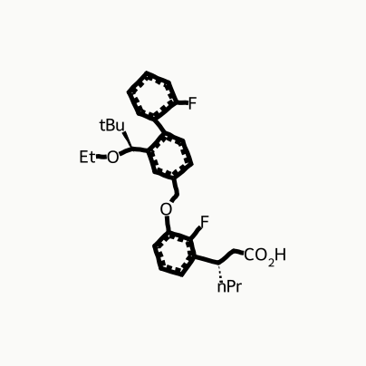 CCC[C@@H](CC(=O)O)c1cccc(OCc2ccc(-c3ccccc3F)c([C@@H](OCC)C(C)(C)C)c2)c1F